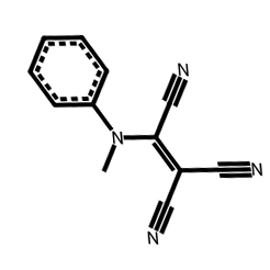 CN(C(C#N)=C(C#N)C#N)c1ccccc1